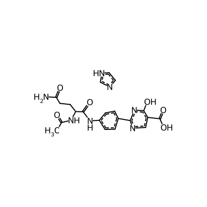 CC(=O)NC(CCC(N)=O)C(=O)Nc1ccc(-c2ncc(C(=O)O)c(O)n2)cc1.c1c[nH]cn1